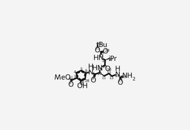 COC(=O)c1ccc(NC(=O)[C@H](CCCNC(N)=O)NC(=O)[C@@H](NC(=O)OC(C)(C)C)C(C)C)cc1O